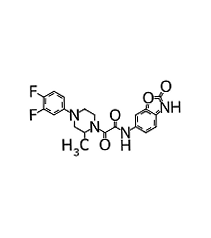 CC1CN(c2ccc(F)c(F)c2)CCN1C(=O)C(=O)Nc1ccc2[nH]c(=O)oc2c1